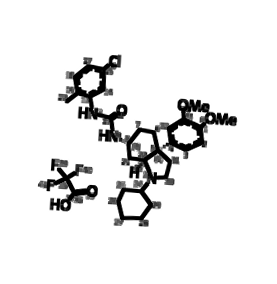 COc1ccc([C@@]23CC[C@@H](NC(=O)Nc4cc(Cl)ccc4C)C[C@@H]2N(C2CCCCC2)CC3)cc1OC.O=C(O)C(F)(F)F